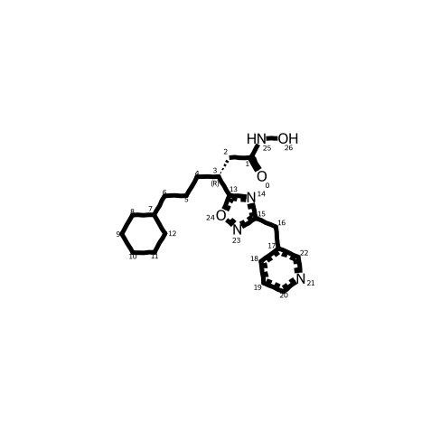 O=C(C[C@@H](CCCC1CCCCC1)c1nc(Cc2cccnc2)no1)NO